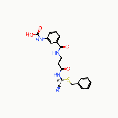 N#C[C@H](NC(=O)CCNC(=O)c1cccc(NC(=O)O)c1)SCc1ccccc1